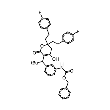 CC(C)(C)C(C1=C(O)CC(CCc2ccc(F)cc2)(CCc2ccc(F)cc2)OC1=O)c1cccc(NC(=O)OCc2ccccc2)c1